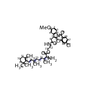 COc1ccc2c(c1)c(CC(=O)NCCOC(=O)\C(N)=C(C)/C=C/C=C(C)/C=C/C1=C(C)CCCC1(C)C)c(C)n2C(=O)c1ccc(Cl)cc1